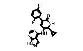 O=c1[nH]c(C2CC2)c(Nc2ncnc3[nH]ncc23)cc1-c1cc(Cl)ccc1F